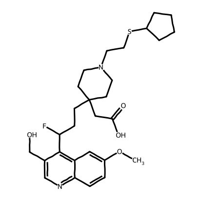 COc1ccc2ncc(CO)c(C(F)CCC3(CC(=O)O)CCN(CCSC4CCCC4)CC3)c2c1